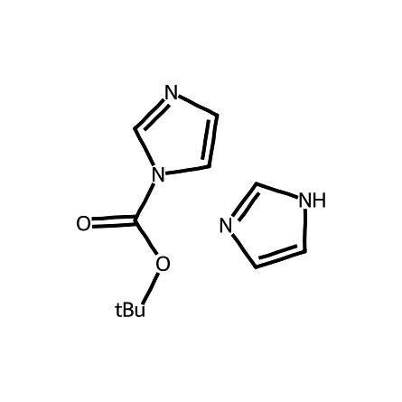 CC(C)(C)OC(=O)n1ccnc1.c1c[nH]cn1